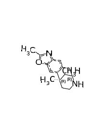 Cc1nc2cc3c(cc2o1)[C@]1(C)CCN[C@H](C3)C1C